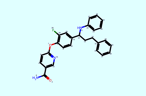 NC(=O)c1ccc(Oc2ccc(C(CCc3ccccc3)Nc3ccccc3)cc2F)nc1